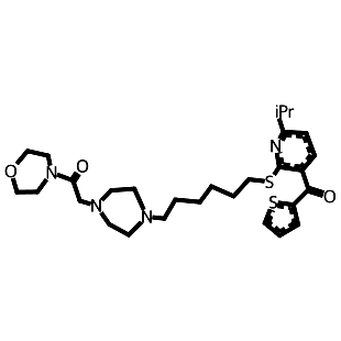 CC(C)c1ccc(C(=O)c2cccs2)c(SCCCCCCN2CCN(CC(=O)N3CCOCC3)CC2)n1